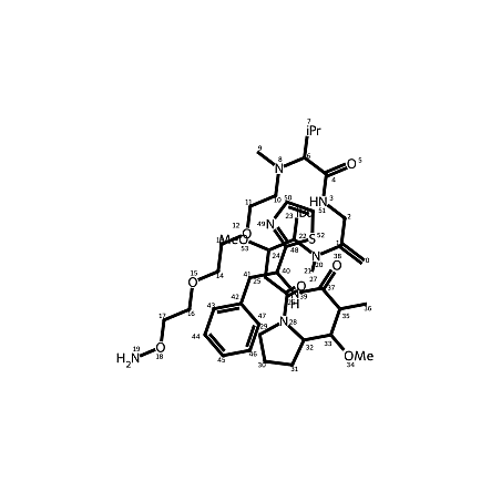 C=C(CNC(=O)C(C(C)C)N(C)CCOCCOCCON)N(C)C(C(C)CC)C(CC(=O)N1CCCC1C(OC)C(C)C(=O)NC(Cc1ccccc1)c1nccs1)OC